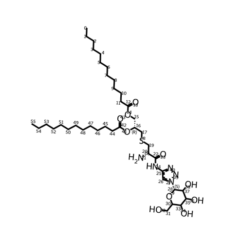 CCCCCCCCCCCCC(=O)OC[C@H](CSC[C@@H](N)C(=O)Nc1cn([C@H]2OC(CO)C(O)C(O)C2O)nn1)OC(=O)CCCCCCCCCCCC